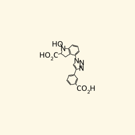 O=C(O)c1cccc(-c2cn(-c3cccc4c3CC(C(=O)O)N4O)nn2)c1